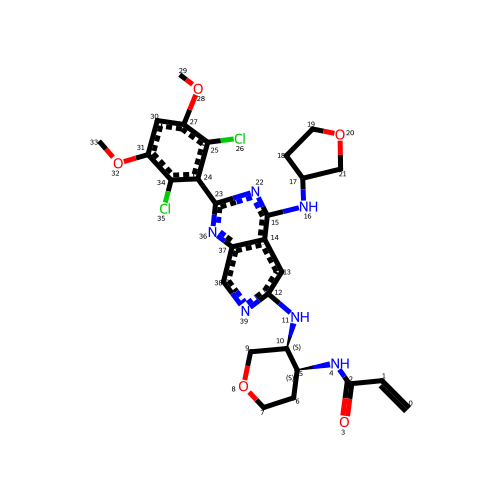 C=CC(=O)N[C@H]1CCOC[C@H]1Nc1cc2c(NC3CCOC3)nc(-c3c(Cl)c(OC)cc(OC)c3Cl)nc2cn1